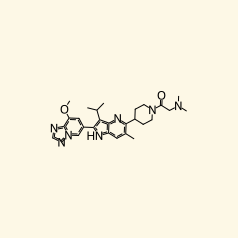 COc1cc(-c2[nH]c3cc(C)c(C4CCN(C(=O)CN(C)C)CC4)nc3c2C(C)C)cn2ncnc12